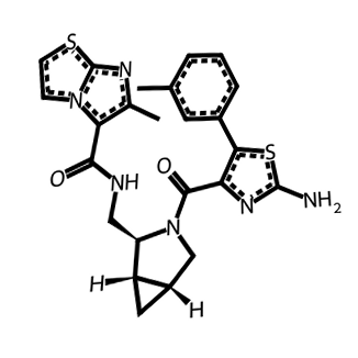 Cc1cccc(-c2sc(N)nc2C(=O)N2C[C@@H]3C[C@@H]3[C@H]2CNC(=O)c2c(C)nc3sccn23)c1